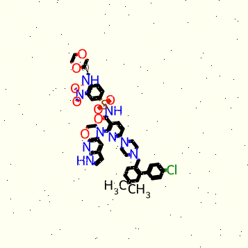 CC1(C)CCC(CN2CCN(c3ccc(C(=O)NS(=O)(=O)c4ccc(NC[C@H]5COCCO5)c([N+](=O)[O-])c4)c(N4CCOc5nc6[nH]ccc6cc54)n3)CC2)=C(c2ccc(Cl)cc2)C1